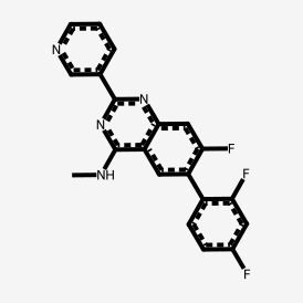 CNc1nc(-c2cccnc2)nc2cc(F)c(-c3ccc(F)cc3F)cc12